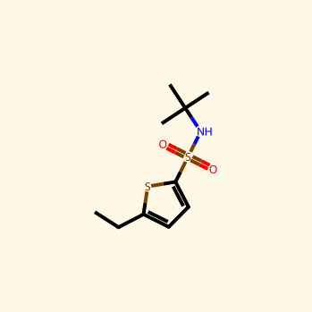 CCc1ccc(S(=O)(=O)NC(C)(C)C)s1